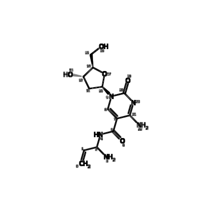 C=CC(N)NC(=O)c1cn([C@H]2C[C@H](O)[C@@H](CO)O2)c(=O)nc1N